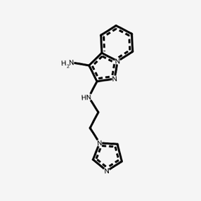 Nc1c(NCCn2ccnc2)nn2ccccc12